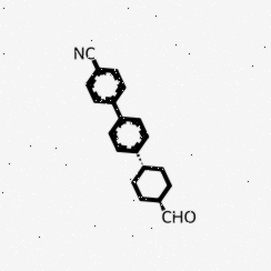 N#Cc1ccc(-c2ccc([C@H]3CC[C@H](C=O)CC3)cc2)cc1